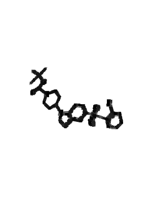 CC(C)(C)OC(=O)N1CCC(n2ccc3cc(S(=O)(=O)c4ccccc4F)ccc32)CC1